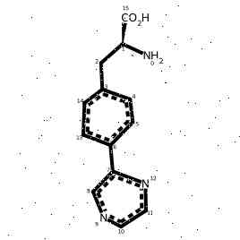 N[C@@H](Cc1ccc(-c2cnccn2)cc1)C(=O)O